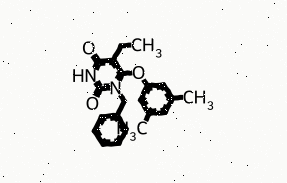 CCc1c(Oc2cc(C)cc(C)c2)n(Cc2ccccc2)c(=O)[nH]c1=O